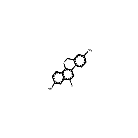 Oc1ccc2c(c1)COc1c-2cc(Br)c2cc(O)ccc12